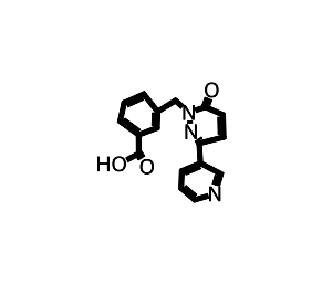 O=C(O)c1cccc(Cn2nc(-c3cccnc3)ccc2=O)c1